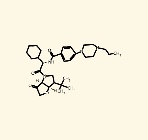 CCCN1CCN(c2ccc(C(=O)N[C@H](C(=O)N3CC(C(C)(C)C)[C@H]4OCC(=O)[C@H]43)C3CCCCC3)cc2)CC1